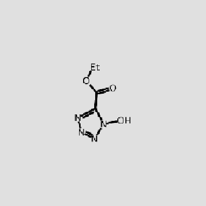 CCOC(=O)c1nnnn1O